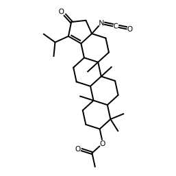 CC(=O)OC1CCC2(C)C(CCC3(C)C2CCC2C4=C(C(C)C)C(=O)CC4(N=C=O)CCC23C)C1(C)C